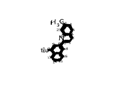 Cc1ccc2ccc(-c3cc(C(C)(C)C)c4ccccc4c3)nc2c1